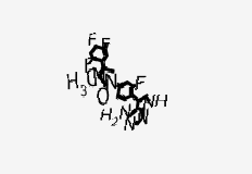 CN1C(=O)N(c2ccc(-c3c[nH]c4ncnc(N)c34)c(F)c2)CC1c1cc(F)c(F)cc1F